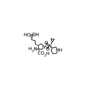 N[C@@]1(C(=O)O)CN(S(=O)(=O)N(C2CC2)C2CCCNC2)C[C@@H]1CCCB(O)O